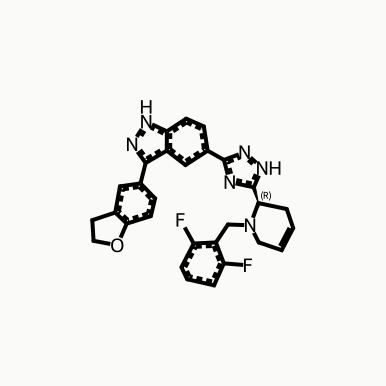 Fc1cccc(F)c1CN1CC=CC[C@@H]1c1nc(-c2ccc3[nH]nc(-c4ccc5c(c4)CCO5)c3c2)n[nH]1